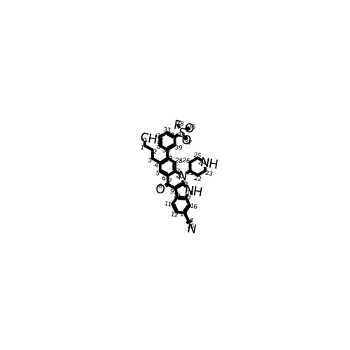 CCCCc1cc2c(=O)c3c4ccc(C#N)cc4[nH]c3n(C3CCNCC3)c2cc1-c1cccc(S(=O)(=O)F)c1